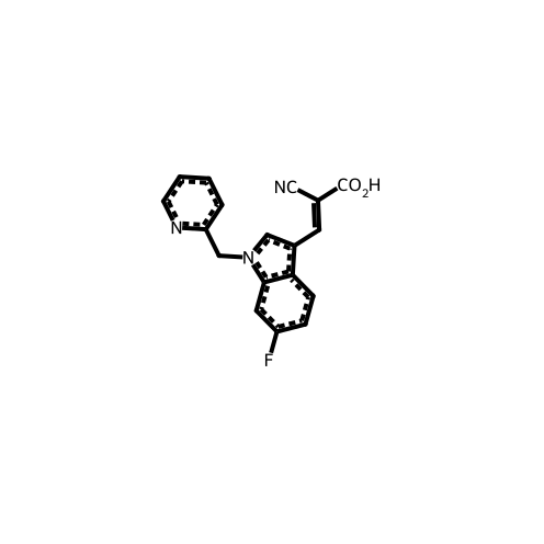 N#C/C(=C\c1cn(Cc2ccccn2)c2cc(F)ccc12)C(=O)O